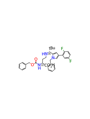 CC(C)(C)[C@@H](NCC[C@H](NC(=O)OCc1ccccc1)C(=O)O)c1cc(-c2cc(F)ccc2F)cn1Cc1ccccc1